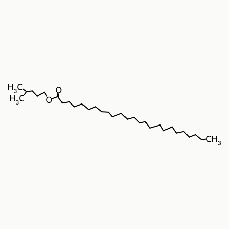 CCCCCCCCCCCCCCCCCCCCCCCCC(=O)OCCCC(C)C